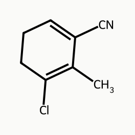 CC1=C(Cl)CCC=C1C#N